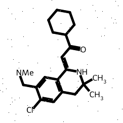 CNCc1cc2c(cc1Cl)CC(C)(C)NC2=CC(=O)C1CCCCC1